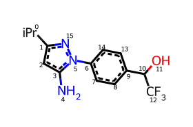 CC(C)c1cc(N)n(-c2ccc(C(O)C(F)(F)F)cc2)n1